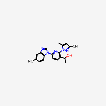 Cc1cc(C#N)nn1-c1nc(-n2cnc3cc(C#N)ccc32)ccc1C(C)O